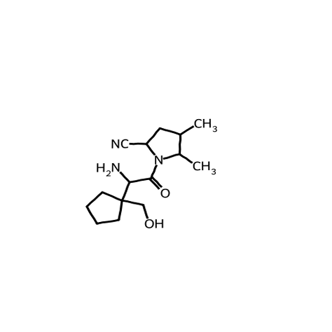 CC1CC(C#N)N(C(=O)C(N)C2(CO)CCCC2)C1C